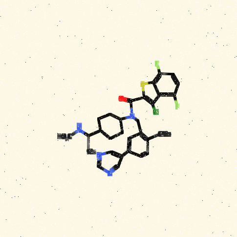 COc1ccc(-c2cncnc2)cc1CN(C(=O)c1sc2c(F)ccc(F)c2c1Cl)C1CCC(C(NC(=O)O)C(C)(C)C)CC1